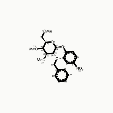 COC[C@H]1O[C@@H](Oc2ccc([N+](=O)[O-])cc2)[C@H](OCc2ccccc2)[C@@H](OC)[C@H]1OC